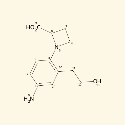 Nc1ccc(N2CCC2C(=O)O)c(CCO)c1